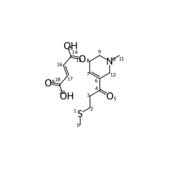 CSCCC(=O)C1=CCCN(C)C1.O=C(O)C=CC(=O)O